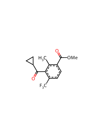 COC(=O)c1ccc(C(F)(F)F)c(C(=O)C2CC2)c1C